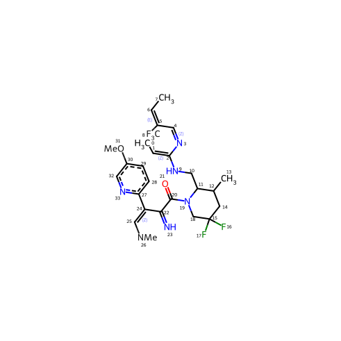 C\C=C(/N=C\C(=C/C)C(F)(F)F)NCC1C(C)CC(F)(F)CN1C(=O)C(=N)/C(=C\NC)c1ccc(OC)cn1